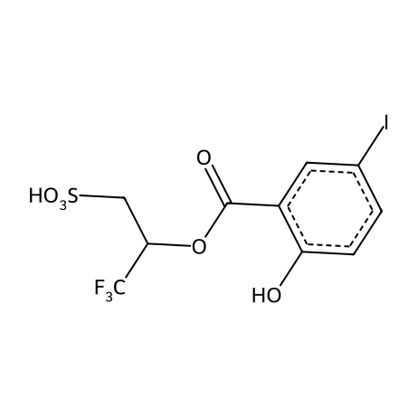 O=C(OC(CS(=O)(=O)O)C(F)(F)F)c1cc(I)ccc1O